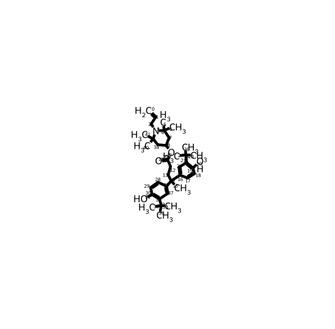 C=CCN1C(C)(C)CC(OC(=O)CCC(C)(c2ccc(O)c(C(C)(C)C)c2)c2ccc(O)c(C(C)(C)C)c2)CC1(C)C